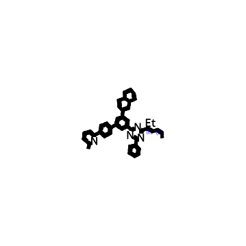 C/C=C\C=C(/CC)c1nc(-c2ccccc2)nc(-c2cc(C3=CC4C=CC=CC4C=C3)cc(-c3ccc(-c4cccc(C)n4)cc3)c2)n1